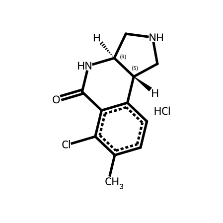 Cc1ccc2c(c1Cl)C(=O)N[C@H]1CNC[C@H]21.Cl